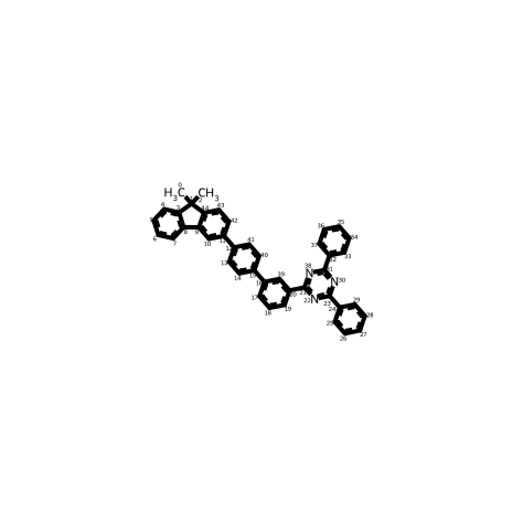 CC1(C)c2ccccc2-c2cc(-c3ccc(-c4cccc(-c5nc(-c6ccccc6)nc(-c6ccccc6)n5)c4)cc3)ccc21